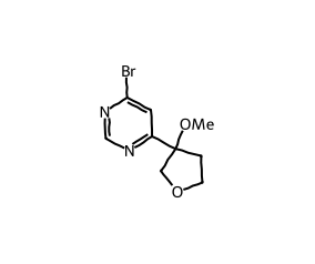 COC1(c2cc(Br)ncn2)CCOC1